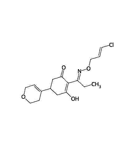 CCC(=NOCC=CCl)C1=C(O)CC(C2=CCOCC2)CC1=O